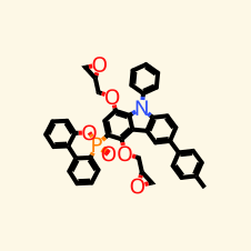 Cc1ccc(-c2ccc3c(c2)c2c(OCC4CO4)c(P4(=O)Oc5ccccc5-c5ccccc54)cc(OCC4CO4)c2n3-c2ccccc2)cc1